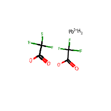 O=C([O-])C(F)(F)F.O=C([O-])C(F)(F)F.[PbH2+2]